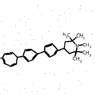 CN1C(C)(C)CC(c2ccc(-c3ccc(C4C=CC=CC=C4)cc3)cc2)CC1(C)C